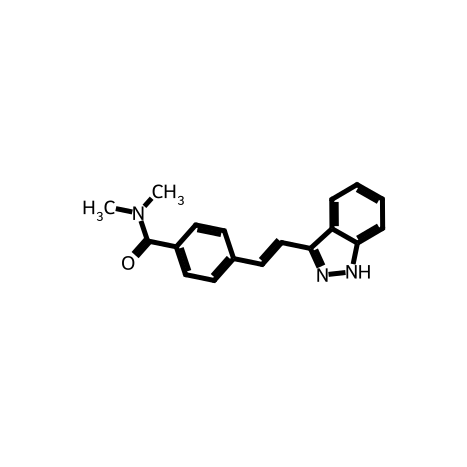 CN(C)C(=O)c1ccc(C=Cc2n[nH]c3ccccc23)cc1